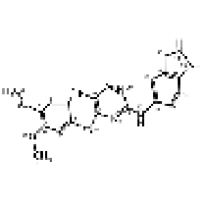 COc1ccc(Nc2nc(Nc3ccc4c(c3)CNN4)ncc2F)cc1OC